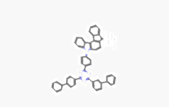 CC1(C)c2ccccc2-c2c1ccc1c2c2ccccc2n1-c1ccc(-c2nc(-c3ccc(-c4ccccc4)cc3)nc(-c3cccc(-c4ccccc4)c3)n2)cc1